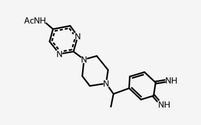 CC(=O)Nc1cnc(N2CCN(C(C)C3=CC(=N)C(=N)C=C3)CC2)nc1